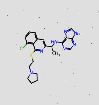 C[C@H](Nc1ncnc2[nH]cnc12)c1cc2cccc(Cl)c2c(SCCN2CCCC2)n1